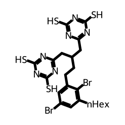 CCCCCCc1cc(Br)cc(CCC(Cc2nc(S)nc(S)n2)Cc2nc(S)nc(S)n2)c1Br